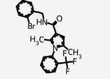 Cc1cc(C(=O)NCc2ccccc2Br)c(C)n1-c1ccccc1C(F)(F)F